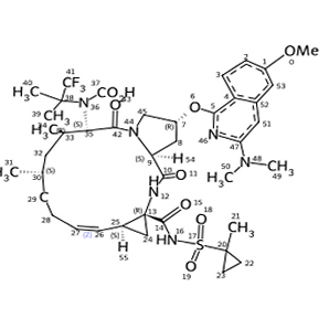 COc1ccc2c(O[C@@H]3C[C@H]4C(=O)N[C@]5(C(=O)NS(=O)(=O)C6(C)CC6)C[C@H]5/C=C\CC[C@H](C)C[C@@H](C)[C@H](N(C(=O)O)C(C)(C)C(F)(F)F)C(=O)N4C3)nc(N(C)C)cc2c1